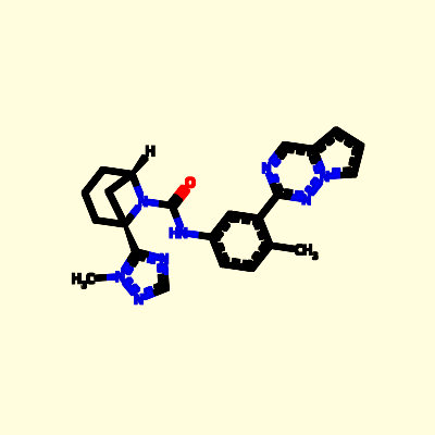 Cc1ccc(NC(=O)N2[C@H]3CCC[C@]2(c2ncnn2C)C3)cc1-c1ncc2cccn2n1